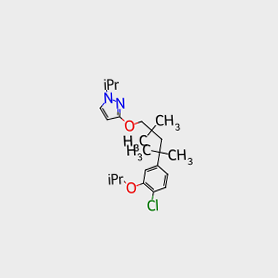 CC(C)Oc1cc(C(C)(C)CC(C)(C)COc2ccn(C(C)C)n2)ccc1Cl